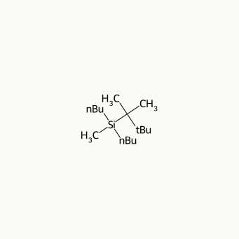 CCCC[Si](C)(CCCC)C(C)(C)C(C)(C)C